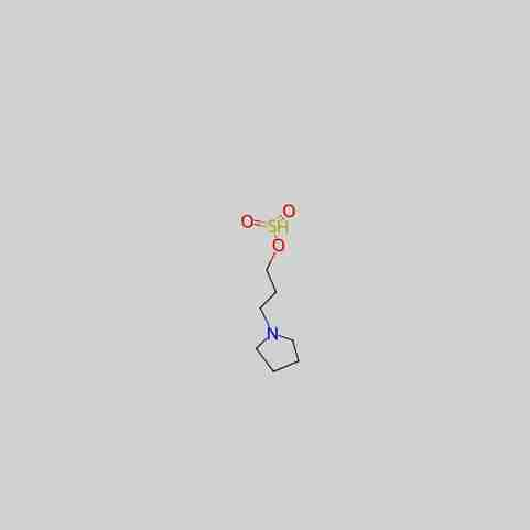 O=[SH](=O)OCCCN1CCCC1